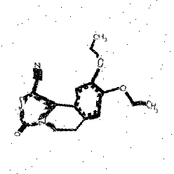 CCOc1cc2c(cc1OCC)-c1c(C#N)sc(=O)n1CC2